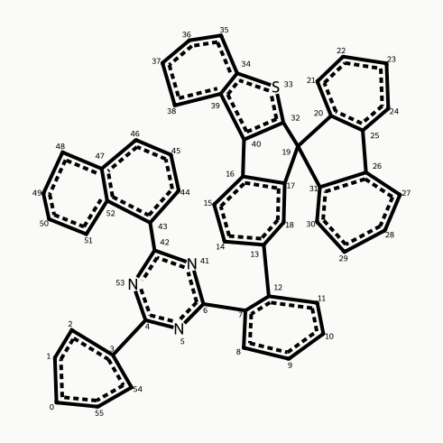 c1ccc(-c2nc(-c3ccccc3-c3ccc4c(c3)C3(c5ccccc5-c5ccccc53)c3sc5ccccc5c3-4)nc(-c3cccc4ccccc34)n2)cc1